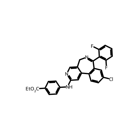 CCOC(=O)c1ccc(Nc2cc3c(cn2)CN=C(c2c(F)cccc2F)c2cc(Cl)ccc2-3)cc1